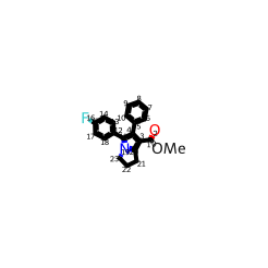 COC(=O)c1c(-c2ccccc2)c(-c2ccc(F)cc2)n2c1CCC2